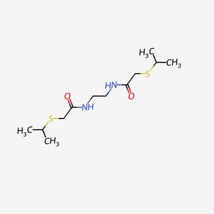 CC(C)SCC(=O)NCCNC(=O)CSC(C)C